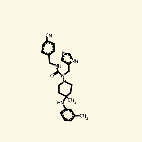 Cc1cccc(NC2(C)CCN(N(Cc3cnc[nH]3)C(=O)NCc3ccc(C#N)cc3)CC2)c1